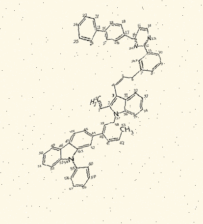 C=Cc1c(/C=C\Cc2cccc(-c3nccc(-c4ccc(-c5ccccc5)cc4)n3)c2)c2ccccc2n1C/C=C(\C=C/C)c1ccc2c3ccccc3n(-c3ccccc3)c2c1